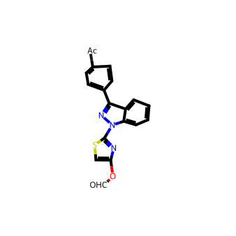 CC(=O)c1ccc(-c2nn(-c3nc(OC=O)cs3)c3ccccc23)cc1